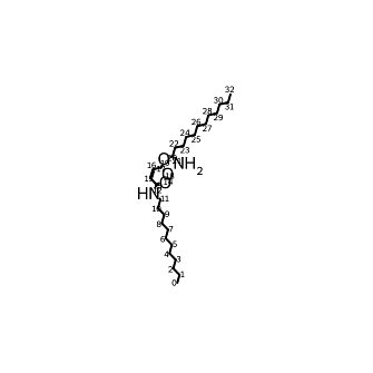 CCCCCCCCCCCCNC(=O)/C=C\C(=O)OC(N)CCCCCCCCCCC